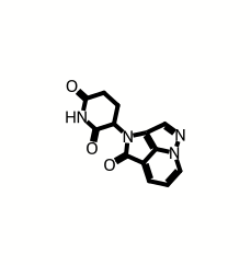 O=C1CCC(n2c(=O)c3cccn4ncc2c34)C(=O)N1